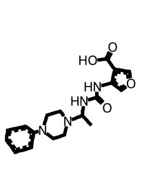 CC(NC(=O)Nc1cocc1C(=O)O)N1CCN(c2ccccc2)CC1